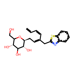 C=C/C=C\C(=C/C[C@@H]1OC(CO)[C@@H](O)C(O)[C@H]1O)Cc1nc2ccccc2s1